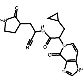 N#CC(CC1CCNC1=O)NC(=O)C(CC1CC1)n1ccc2[nH]cnc2c1=O